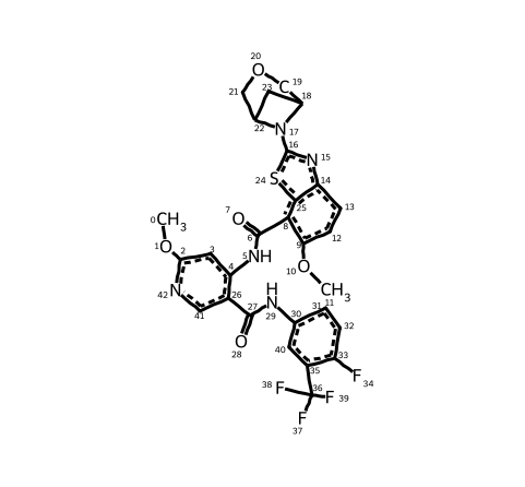 COc1cc(NC(=O)c2c(OC)ccc3nc(N4C5COCC4C5)sc23)c(C(=O)Nc2ccc(F)c(C(F)(F)F)c2)cn1